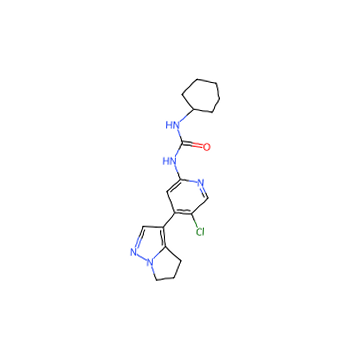 O=C(Nc1cc(-c2cnn3c2CCC3)c(Cl)cn1)NC1CCCCC1